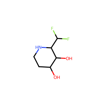 OC1CCNC(C(F)F)C1O